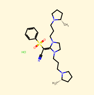 C[C@H]1CCCN1CCCN1CCN(CCCN2CCC[C@@H]2C)C1=C(C#N)S(=O)(=O)c1ccccc1.Cl